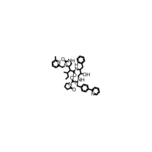 CCC(C)C(C(=O)NC(Cc1ccccc1)C(O)CNN(Cc1ccc(-c2ccccn2)cc1)C(=O)N1CCCC1=O)C1CNC(=O)N1Cc1cccc(C)n1